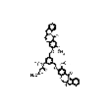 CNCC(=O)N(C)c1cc(COc2cc3c(cc2OC)C(=O)N2c4ccccc4CC2C=N3)cc(COc2cc3c(cc2OC)C(=O)N2c4ccccc4C[C@H]2C=N3)c1